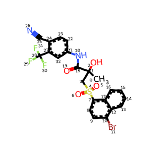 CC(O)(CS(=O)(=O)c1ccc(Br)c2ccccc12)C(=O)Nc1ccc(C#N)c(C(F)(F)F)c1